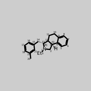 CCN1C[C@@H]2c3ccccc3CCC2[C@H]1Cc1cccc(C)c1